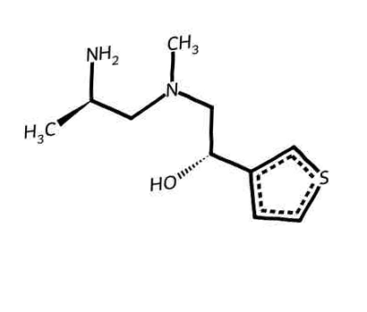 C[C@@H](N)CN(C)C[C@@H](O)c1ccsc1